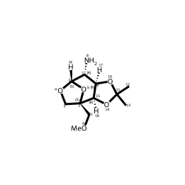 COC[C@@]12CO[C@@H](O1)[C@H](N)[C@H]1OC(C)(C)O[C@H]12